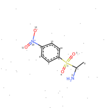 CC(N)S(=O)(=O)c1ccc([N+](=O)[O-])cc1